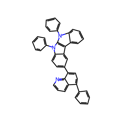 c1ccc(-c2ccc(-c3ccc4c(c3)c3c5ccccc5n(-c5ccccc5)c3n4-c3ccccc3)c3ncccc23)cc1